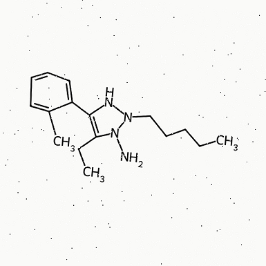 CCCCCN1NC(c2ccccc2C)=C(CC)N1N